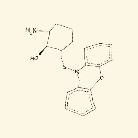 N[C@@H]1CCCC(SN2c3ccccc3Oc3ccccc32)[C@H]1O